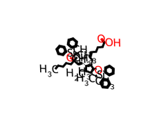 C=C1C[C@H](O[Si](c2ccccc2)(c2ccccc2)C(C)(C)C)[C@H](C/C=C\CCCC(=O)O)[C@H]1/C=C/C(C)(CCCCC)O[Si](c1ccccc1)(c1ccccc1)C(C)(C)C